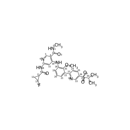 CNC(=O)c1cnc(NC(=O)C2CC2F)cc1Nc1cccc(-c2ccc(S(=O)(=O)C(C)C)cn2)c1OC